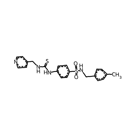 Cc1ccc(CNS(=O)(=O)c2ccc(NC(=S)NCc3ccncc3)cc2)cc1